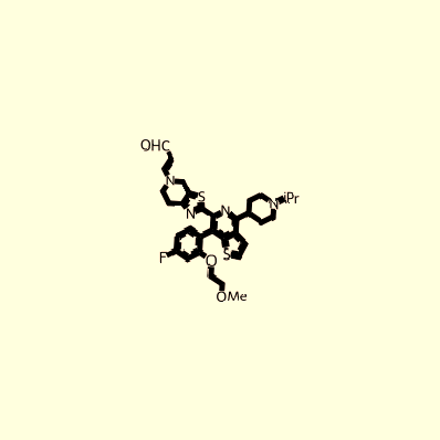 COCCOc1cc(F)ccc1-c1c(-c2nc3c(s2)CN(C=CC=O)CC3)nc(C2CCN(C(C)C)CC2)c2ccsc12